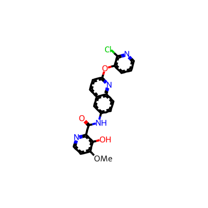 COc1ccnc(C(=O)Nc2ccc3nc(Oc4cccnc4Cl)ccc3c2)c1O